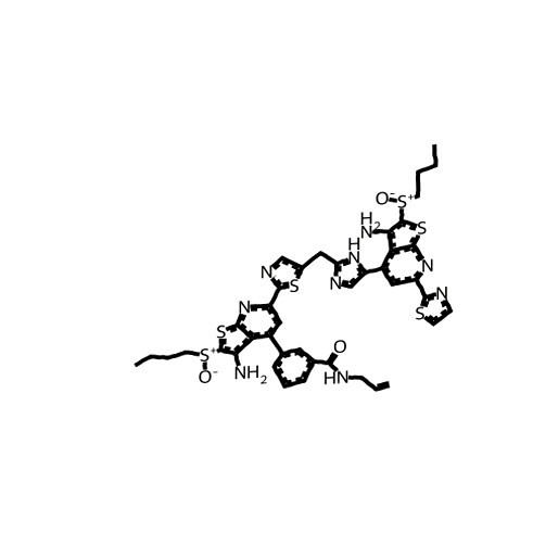 C=CCNC(=O)c1cccc(-c2cc(-c3ncc(Cc4ncc(-c5cc(-c6nccs6)nc6sc([S+]([O-])CCCC)c(N)c56)[nH]4)s3)nc3sc([S+]([O-])CCCC)c(N)c23)c1